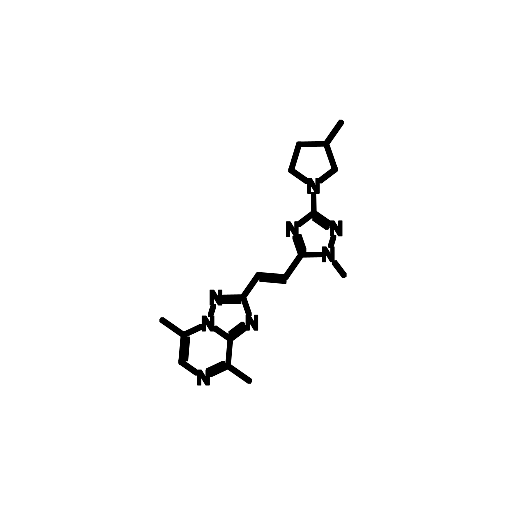 Cc1ncc(C)n2nc(C=Cc3nc(N4CCC(C)C4)nn3C)nc12